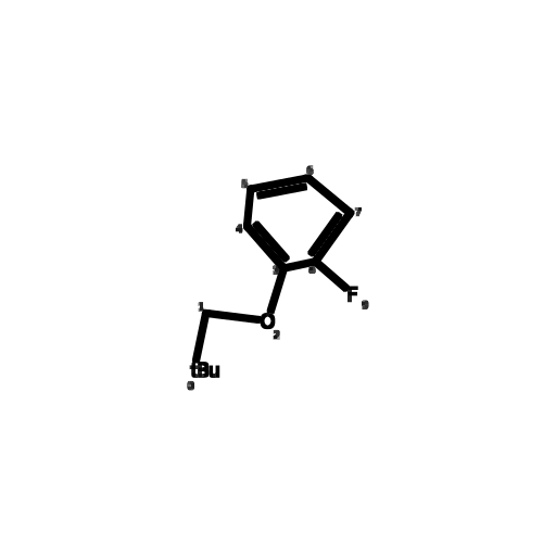 CC(C)(C)COc1ccccc1F